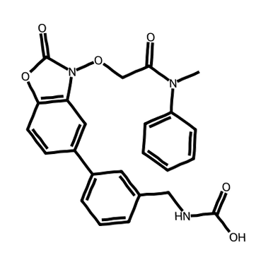 CN(C(=O)COn1c(=O)oc2ccc(-c3cccc(CNC(=O)O)c3)cc21)c1ccccc1